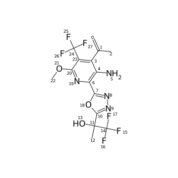 C=C(C)c1c(N)c(-c2nnc(C(C)(O)C(F)(F)F)o2)nc(OC)c1C(F)(F)F